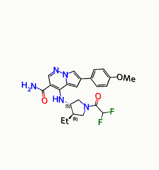 CC[C@@H]1CN(C(=O)C(F)F)C[C@H]1Nc1c(C(N)=O)cnn2cc(-c3ccc(OC)cc3)cc12